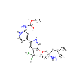 COC(=O)Nc1cc(-c2cc(C(F)(F)F)c(OCC(C)(N)CC(C)C)cn2)ccn1